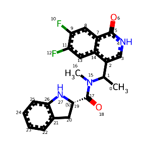 CC(c1c[nH]c(=O)c2cc(F)c(F)cc12)N(C)C(=O)[C@@H]1Cc2ccccc2N1